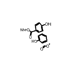 COC(=O)c1ccc(O)cc1.COC=O.Oc1ccccc1